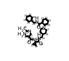 C=C/N=C\C(=C/N)C(=O)NC1(C(=O)NCC2CCN(c3ccccc3C(=O)NCc3ccccc3)CC2)CC1